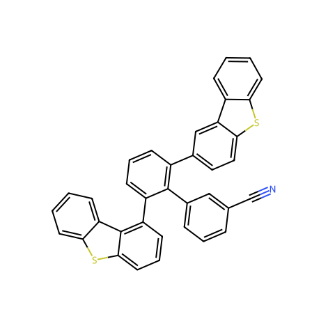 N#Cc1cccc(-c2c(-c3ccc4sc5ccccc5c4c3)cccc2-c2cccc3sc4ccccc4c23)c1